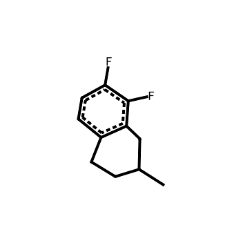 CC1CCc2ccc(F)c(F)c2C1